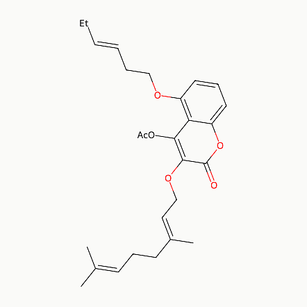 CC/C=C/CCOc1cccc2oc(=O)c(OC/C=C(\C)CCC=C(C)C)c(OC(C)=O)c12